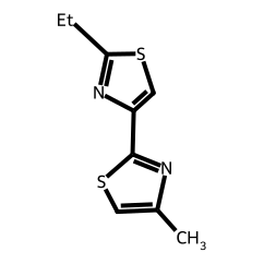 CCc1nc(-c2nc(C)cs2)cs1